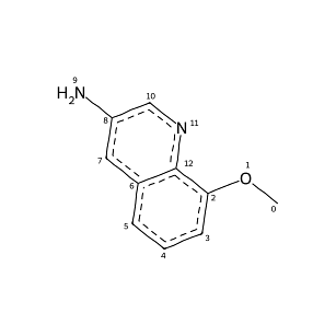 COc1cccc2cc(N)cnc12